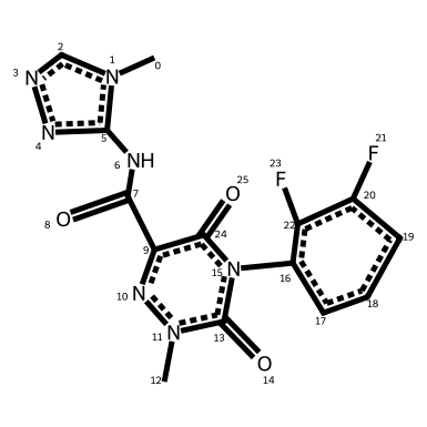 Cn1cnnc1NC(=O)c1nn(C)c(=O)n(-c2cccc(F)c2F)c1=O